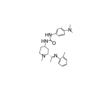 C/C(=N\c1ccccc1C)[C@H]1CC(NC(=O)Nc2ccc(N(C)C)cc2)CCN1C